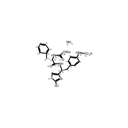 CCc1nc([C@H](Cc2ccc(NS(=O)(=O)O)cc2)NC(=O)[C@H](Cc2ccccc2)NC(=O)OC)cs1.N